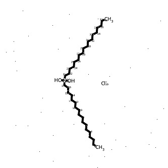 CCCCCCCCCCCCCCCCCC[N+](O)(O)CCCCCCCCCCCCCCCCCC.[Cl-]